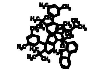 Cc1cc(C)cc(-c2c(C(C)(C)C)ccc3c2C=C(CC(C)C)[CH]3[Zr]([Cl])([Cl])([c]2cccc3c2[SiH2]c2ccccc2-3)[CH]2C(CC(C)C)=Cc3c2ccc(C(C)(C)C)c3-c2cc(C)cc(C)c2)c1